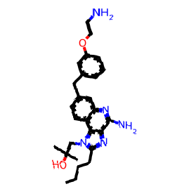 CCCCc1nc2c(N)nc3cc(Cc4cccc(OCCN)c4)ccc3c2n1CC(C)(C)O